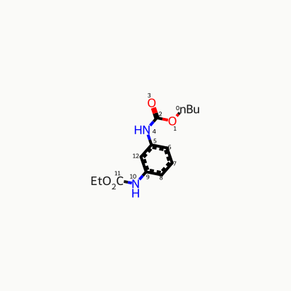 CCCCOC(=O)Nc1cccc(NC(=O)OCC)c1